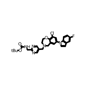 CC(C)(C)OC(=O)NCc1ncc(CN2CCOc3c(Cl)cc(-n4ccc5cc(F)ccc54)cc3C2)cn1